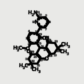 COc1ccc(-c2cccc(N)n2)c(C)c1C1C2=C(CC(C)(C)CC2=O)OC2=C1C(=O)CC(C)(C)C2